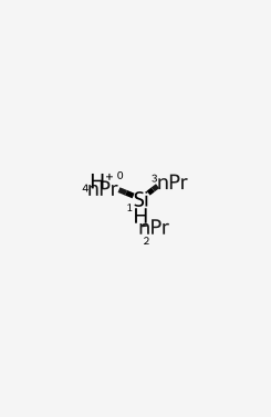 CCC[SiH](CCC)CCC.[H+]